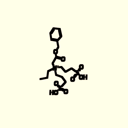 CCC[N+](CCCS(=O)(=O)O)(CCCS(=O)(=O)O)CC(=O)OCc1ccccc1